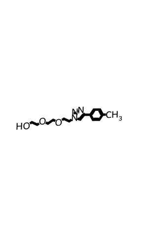 Cc1ccc(-c2cn(CCOCCOCCO)nn2)cc1